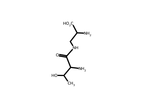 CC(O)C(N)C(=O)NCC(N)C(=O)O